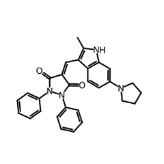 Cc1[nH]c2cc(N3CCCC3)ccc2c1C=C1C(=O)N(c2ccccc2)N(c2ccccc2)C1=O